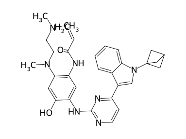 C=CC(=O)Nc1cc(Nc2nccc(-c3cn(C45CC(C4)C5)c4ccccc34)n2)c(O)cc1N(C)CCN(C)C